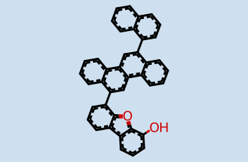 Oc1cccc2c1oc1c(-c3cc4c5ccccc5c(-c5cccc6ccccc56)cc4c4ccccc34)cccc12